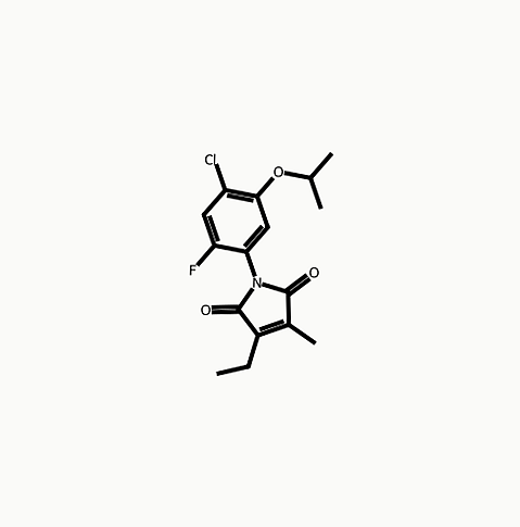 CCC1=C(C)C(=O)N(c2cc(OC(C)C)c(Cl)cc2F)C1=O